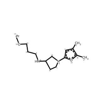 Cc1cc(N2CCC(NCCCOC(C)C)C2)oc1C